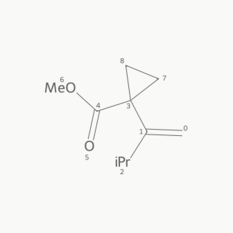 C=C(C(C)C)C1(C(=O)OC)CC1